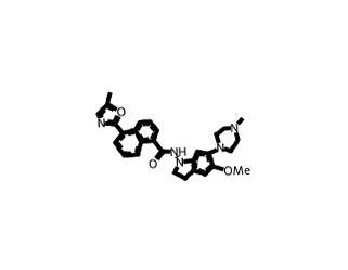 COc1cc2c(cc1N1CCN(C)CC1)N(NC(=O)c1cccc3c(-c4ncc(C)o4)cccc13)CC2